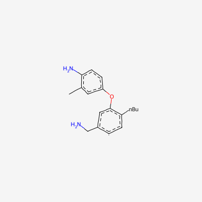 CCCCc1c[c]c(CN)cc1Oc1ccc(N)c(C)c1